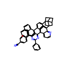 N#Cc1ccc(-c2ccc(-c3ccc(C45CC6CC7CC(c8ccc(-c9cc(-c%10ccccc%10)nc(-c%10ccccc%10)n9)c9cccnc89)(C4)C675)cc3)c3ccccc23)cc1